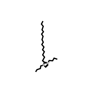 CCCCCCCCCCCCCCCCc1n(CCCC)cc[n+]1CCCC